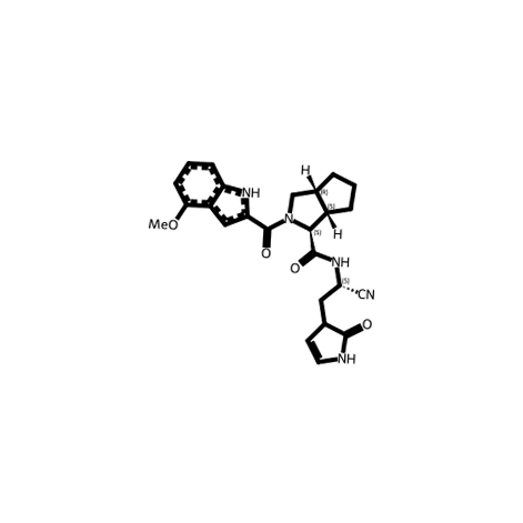 COc1cccc2[nH]c(C(=O)N3C[C@@H]4CCC[C@@H]4[C@H]3C(=O)N[C@H](C#N)CC3C=CNC3=O)cc12